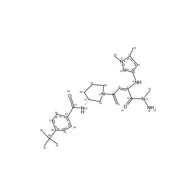 C=C(/C=C(/Nc1cc(C)n(C)n1)C(=O)N(C)N)N1CCC[C@@H](NC(=O)c2ccc(C(C)(C)C)cc2)C1